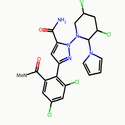 CNC(=O)c1cc(Cl)cc(Cl)c1-c1cc(C(N)=O)n(N2CC(Cl)CC(Cl)C2n2cccc2)n1